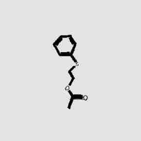 CC(=O)OCCSc1ccccc1